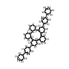 c1ccc2c(c1)c1ccccc1c1cc(-c3ccc(-c4ccncc4)nc3)ccc1c1ccccc1c1ccc(-c3ccc(-c4ccncc4)nc3)cc21